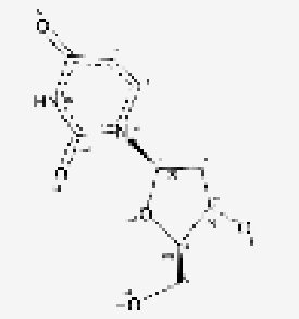 O=c1ccn([C@H]2C[C@H](O)[C@@H]([CH]O)O2)c(=O)[nH]1